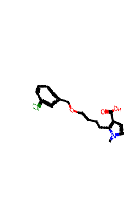 Cn1ccc(C(=O)O)c1CCCCOCc1cccc(Cl)c1